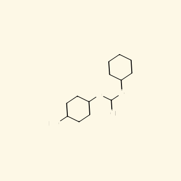 CC(OC1CCCCC1)OC1CCC(O)CC1